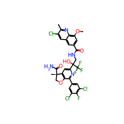 COc1cc(C(=O)NCC(O)(c2cc3c(c(-c4cc(Cl)c(F)c(Cl)c4)n2)OC[C@]3(C)C(N)=O)C(F)(F)F)cc2cc(Cl)c(C)nc12